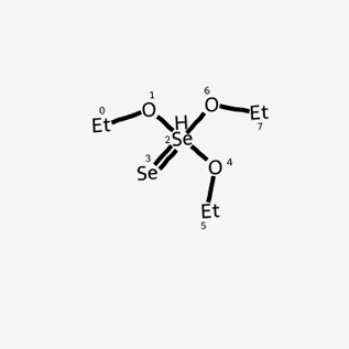 CCO[SeH](=[Se])(OCC)OCC